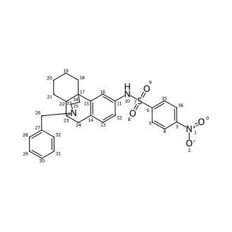 O=[N+]([O-])c1ccc(S(=O)(=O)Nc2ccc3c(c2)C24CCCCC2C(C3)N(Cc2ccccc2)CC4)cc1